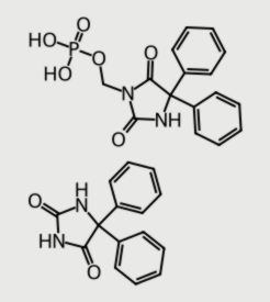 O=C1NC(=O)C(c2ccccc2)(c2ccccc2)N1.O=C1NC(c2ccccc2)(c2ccccc2)C(=O)N1COP(=O)(O)O